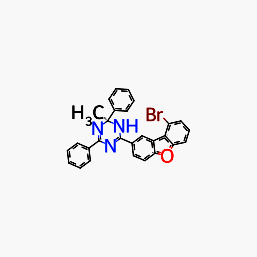 C[C@@]1(c2ccccc2)N=C(c2ccccc2)N=C(c2ccc3oc4cccc(Br)c4c3c2)N1